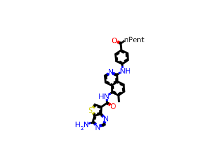 CCCCCC(=O)c1ccc(Nc2nccc3c(NC(=O)c4csc5c(N)ncnc45)c(C)ccc23)cc1